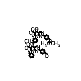 CCOC(=O)c1c(=O)c2cnc(-c3ccc(C=O)cc3)nc2n2c1sc1ccccc12.CN(C)Cc1ccc(-c2ncc3c(=O)c(C(=O)O)c4sc5ccccc5n4c3n2)cc1